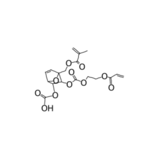 C=CC(=O)OCCOC(=O)OC1C(OC(=O)O)C2C=CC1(COC(=O)C(=C)C)O2